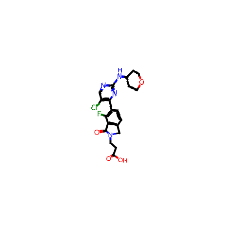 O=C(O)CCN1Cc2ccc(-c3nc(NC4CCOCC4)ncc3Cl)c(F)c2C1=O